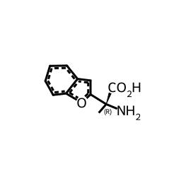 C[C@](N)(C(=O)O)c1cc2ccccc2o1